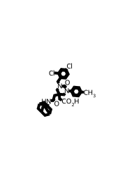 Cc1ccc(N2CC(CC(=O)O)(CC(=O)NC34CC5CC(CC(C5)C3)C4)CN(Cc3ccc(Cl)cc3Cl)C2=O)cc1